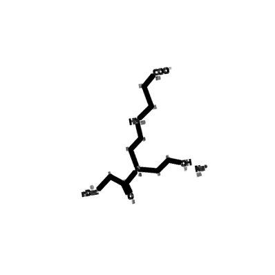 CCCCCCCCCCCC(=O)N(CCO)CCNCCC(=O)[O-].[Na+]